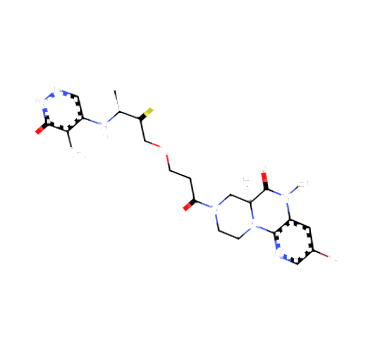 CCN1C(=O)[C@@H]2CN(C(=O)CCOCC(=S)[C@H](C)Nc3cn[nH]c(=O)c3C(F)(F)F)CCN2c2ncc(Br)cc21